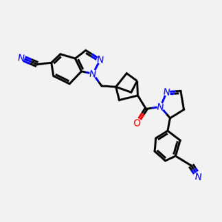 N#Cc1cccc(C2CC=NN2C(=O)C2CC3(Cn4ncc5cc(C#N)ccc54)CC2C3)c1